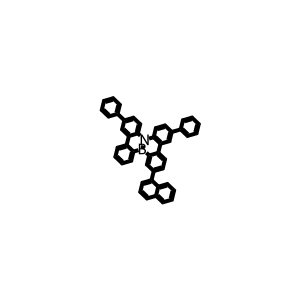 c1ccc(-c2ccc3c(c2)-c2ccccc2B2c4cc(-c5cccc6ccccc56)ccc4-c4cc(-c5ccccc5)ccc4N23)cc1